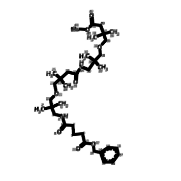 CC(C)(CNC(=O)CCCC(=O)OCc1ccccc1)COCC(C)(C)CC(=O)NCC(C)(C)COCC(C)(C)CC(=O)OC(C)(C)C